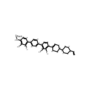 C=CC1CCC(C2CC=C(c3ccc(-c4ccc(-c5ccc(OCCCCC)c(F)c5F)cc4)c(F)c3F)CC2)CC1